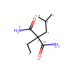 CCC(CC(C)C)(C(N)=O)C(N)=O